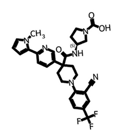 Cn1cccc1-c1ccc(C2(C(=O)N[C@H]3CCN(C(=O)O)C3)CCN(c3ccc(C(F)(F)F)cc3C#N)CC2)cn1